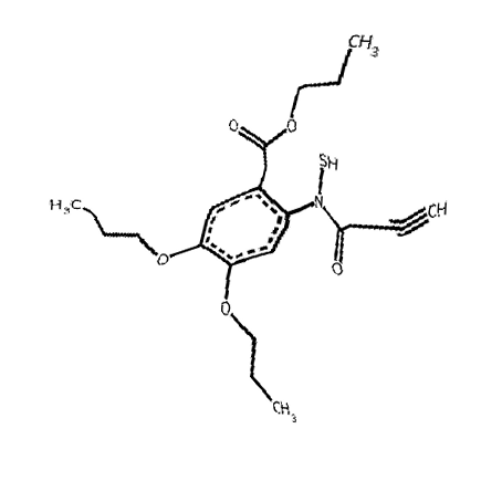 C#CC(=O)N(S)c1cc(OCCC)c(OCCC)cc1C(=O)OCCC